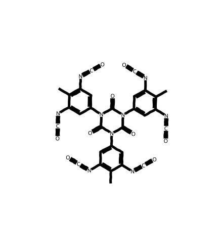 Cc1c(N=C=O)cc(-n2c(=O)n(-c3cc(N=C=O)c(C)c(N=C=O)c3)c(=O)n(-c3cc(N=C=O)c(C)c(N=C=O)c3)c2=O)cc1N=C=O